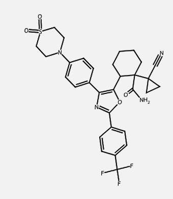 N#CC1(C2(C(N)=O)CCCCC2c2oc(-c3ccc(C(F)(F)F)cc3)nc2-c2ccc(N3CCS(=O)(=O)CC3)cc2)CC1